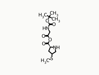 CSC1CN[C@H](C(=O)OC(=O)CNC(=O)OC(C)(C)C)C1